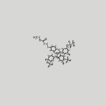 CCOC(=O)CCCc1ccc(C[C@@](NC(=O)c2ccc(F)c(C(F)(F)F)c2)(c2cc(F)cc(OC(F)(F)C(F)F)c2)c2ccc(F)c(C(F)(F)F)c2)cc1